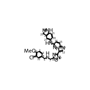 COc1ccc(CNCc2nc(-c3cnc4ccc(Nc5ccc6[nH]ncc6c5)nn34)no2)cc1Cl